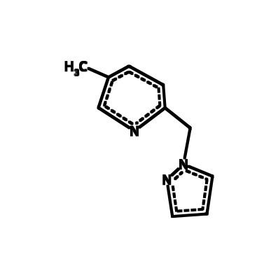 Cc1ccc(Cn2cccn2)nc1